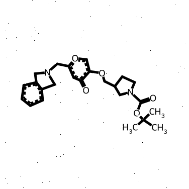 CC(C)(C)OC(=O)N1CCC(COc2coc(CN3Cc4ccccc4C3)cc2=O)C1